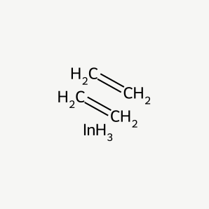 C=C.C=C.[InH3]